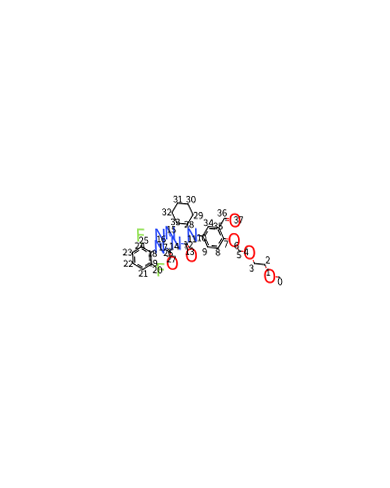 COCCOCOc1ccc(N(C(=O)n2nnn(-c3c(F)cccc3F)c2=O)C2CCCCC2)cc1C=O